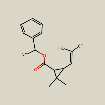 CC1(C)C(C=C(C(F)(F)F)C(F)(F)F)C1C(=O)OC(C#N)c1ccccc1